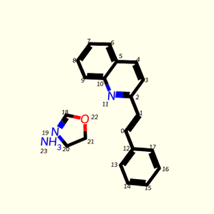 C(=Cc1ccc2ccccc2n1)c1ccccc1.C1=NCCO1.N